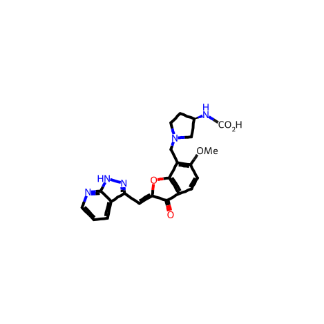 COc1ccc2c(c1CN1CC[C@@H](NC(=O)O)C1)OC(=Cc1n[nH]c3ncccc13)C2=O